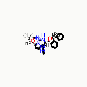 C=C1N[C@H]2[C@H](CO[Si](c3ccccc3)(c3ccccc3)C(C)(C)C)N/C(=N/C(=O)C(Cl)(Cl)Cl)N3[C@@H](CCC)C=C[C@]23N1